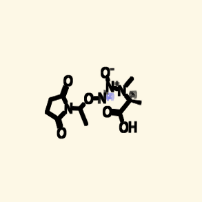 CC(O/N=[N+](\[O-])N(C)[C@@H](C)C(=O)O)N1C(=O)CCC1=O